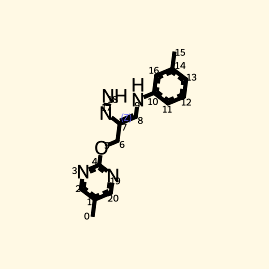 Cc1cnc(OC/C(=C/Nc2cccc(C)c2)N=N)nc1